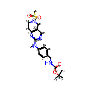 CN(c1ccc(CNC(=O)OC(C)(C)C)cc1)c1ncc2c(n1)CCN(S(C)(=O)=O)C2